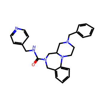 O=C(NCc1ccncc1)N1Cc2ccccc2N2CCN(Cc3ccccc3)CC2C1